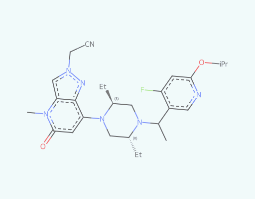 CC[C@H]1CN(C(C)c2cnc(OC(C)C)cc2F)[C@H](CC)CN1c1cc(=O)n(C)c2cn(CC#N)nc12